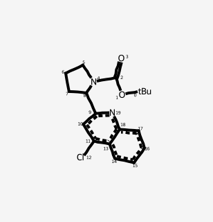 CC(C)(C)OC(=O)N1CCCC1c1cc(Cl)c2ccccc2n1